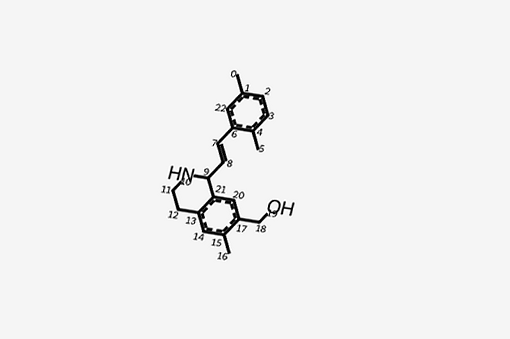 Cc1ccc(C)c(/C=C/C2NCCc3cc(C)c(CO)cc32)c1